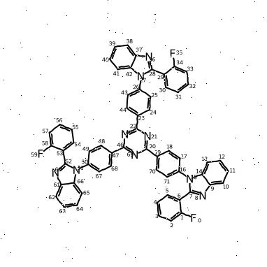 Fc1ccccc1-c1nc2ccccc2n1-c1ccc(-c2nc(-c3ccc(-n4c(-c5ccccc5F)nc5ccccc54)cc3)nc(-c3ccc(-n4c(-c5ccccc5F)nc5ccccc54)cc3)n2)cc1